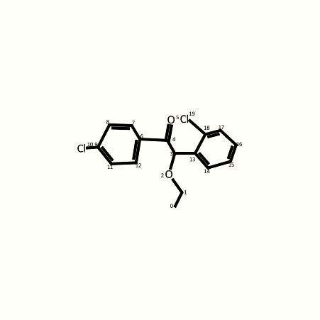 CCOC(C(=O)c1ccc(Cl)cc1)c1ccccc1Cl